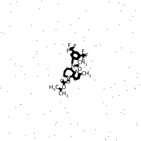 CC(=O)N(Cc1cc(C(F)(F)F)cc(C(F)(F)F)c1)C1CCCN(OC(=O)OC(C)C)c2ccc(C)nc21